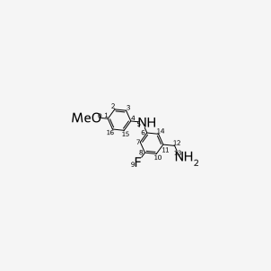 COc1ccc(Nc2cc(F)cc(CN)c2)cc1